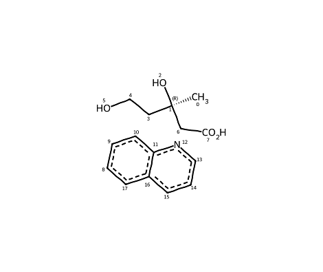 C[C@@](O)(CCO)CC(=O)O.c1ccc2ncccc2c1